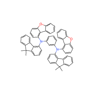 CC1(C)c2ccccc2-c2c(N(c3cccc(N(c4cccc5c4-c4ccccc4C5(C)C)c4cccc5oc6ccccc6c45)c3)c3cccc4oc5ccccc5c34)cccc21